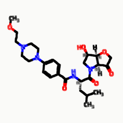 COCCN1CCN(c2ccc(C(=O)N[C@@H](CC(C)C)C(=O)N3C[C@@H](O)[C@H]4OCC(=O)[C@H]43)cc2)CC1